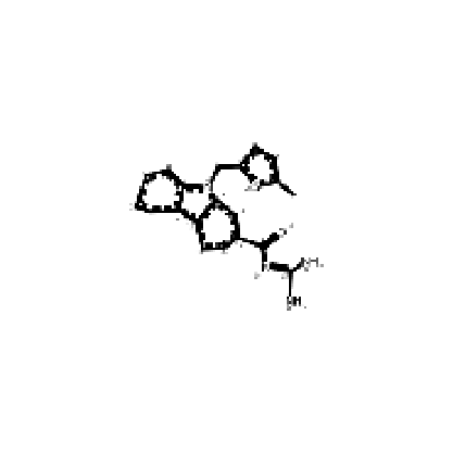 Cc1ccc(Cn2c3ccccc3c3ccc(C(=O)N=C(N)N)cc32)s1